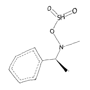 [CH2][C@@H](c1ccccc1)N(C)O[SH](=O)=O